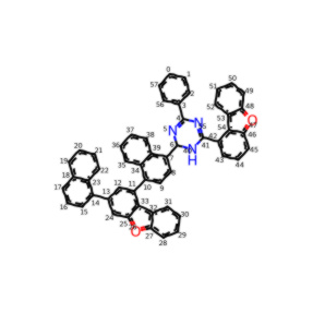 c1ccc(C2=NC(c3ccc(-c4cc(-c5cccc6ccccc56)cc5oc6ccccc6c45)c4ccccc34)NC(c3cccc4oc5ccccc5c34)=N2)cc1